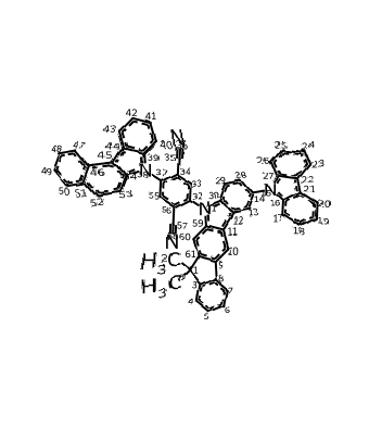 CC1(C)c2ccccc2-c2cc3c4cc(-n5c6ccccc6c6ccccc65)ccc4n(-c4cc(C#N)c(-n5c6ccccc6c6c7ccccc7ccc65)cc4C#N)c3cc21